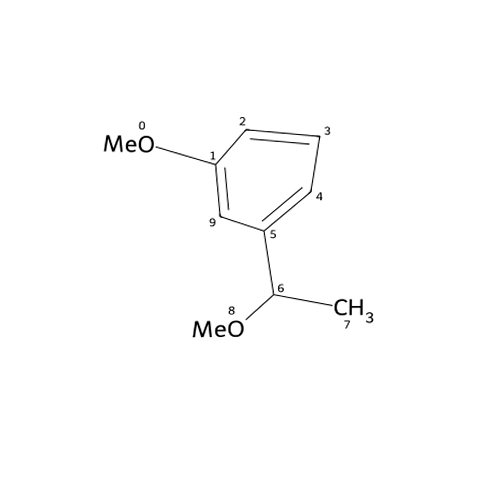 COc1cccc(C(C)OC)c1